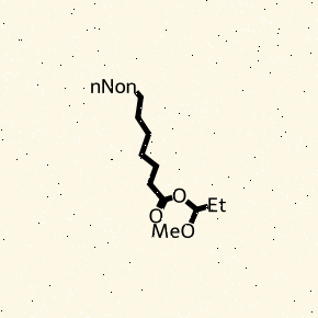 CCCCCCCCCCCCCCCC(=O)OC(CC)OC